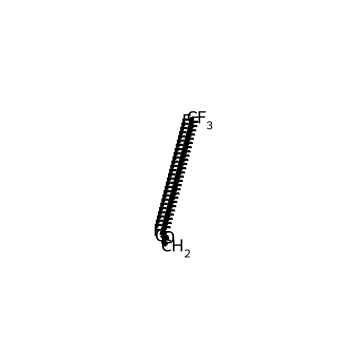 C=CC(=O)OC(F)(F)C(F)(F)C(F)(F)C(F)(F)C(F)(F)C(F)(F)C(F)(F)C(F)(F)C(F)(F)C(F)(F)C(F)(F)C(F)(F)C(F)(F)C(F)(F)C(F)(F)C(F)(F)C(F)(F)C(F)(F)C(F)(F)C(F)(F)C(F)(F)C(F)(F)C(F)(F)C(F)(F)C(F)(F)C(F)(F)C(F)(F)C(F)(F)F